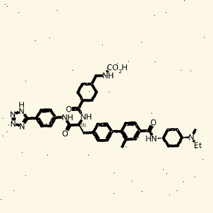 CCN(C)[C@H]1CC[C@H](NC(=O)c2ccc(-c3ccc(C[C@H](NC(=O)C4CCC(CNC(=O)O)CC4)C(=O)Nc4ccc(-c5nnn[nH]5)cc4)cc3)c(C)c2)CC1